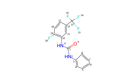 O=C(Nc1ccccc1)Nc1cc(C(F)(F)F)ccc1F